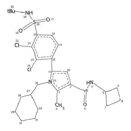 Cc1c(C(=O)NC2CCC2)cc(-c2ccc(S(=O)(=O)NC(C)(C)C)c(Cl)c2Cl)n1CC1CCCCC1